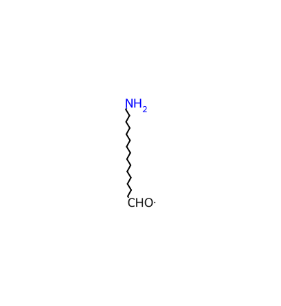 NCCCCCCCCCCCCCCC[C]=O